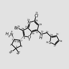 N[C@H]1CC(F)(F)C[C@H]1c1oc2c(NCc3cccs3)cc(Cl)nc2c1Br